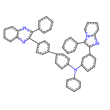 c1ccc(-c2nc3ccccc3nc2-c2ccc(-c3ccc(N(c4ccccc4)c4cccc(-c5nc6ccccn6c5-c5ccccc5)c4)cc3)cc2)cc1